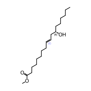 CCCCCC[C@@H](O)C/C=C/CCCCCCCC(=O)OC